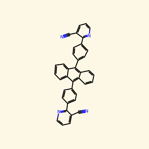 N#Cc1cccnc1-c1ccc(-c2c3ccccc3c(-c3ccc(-c4ncccc4C#N)cc3)c3ccccc23)cc1